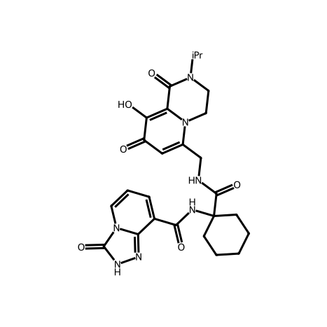 CC(C)N1CCn2c(CNC(=O)C3(NC(=O)c4cccn5c(=O)[nH]nc45)CCCCC3)cc(=O)c(O)c2C1=O